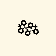 Cc1cccc2c1N(B1c3ccccc3N3c4ccccc4C(C)(C)c4cccc1c43)c1c(C)cccc1C2(C)C